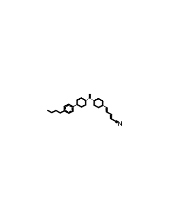 C=C([C@H]1CC[C@H](/C=C/C=C/C#N)CC1)[C@H]1CC[C@H](c2ccc(CCCC)cc2)CC1